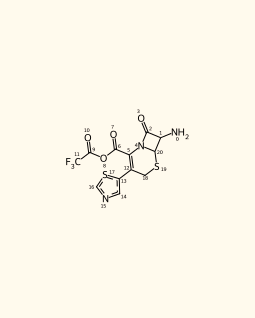 NC1C(=O)N2C(C(=O)OC(=O)C(F)(F)F)=C(c3cncs3)CSC12